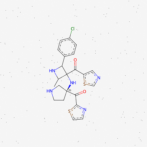 CC1NC(c2ccc(Cl)cc2)C1(N[C@@]1(C(=O)c2nccs2)CCNC1)C(=O)c1cncs1